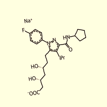 CC(C)c1c(C(=O)NC2CCCC2)nn(-c2ccc(F)cc2)c1CC[C@@H](O)C[C@@H](O)CC(=O)[O-].[Na+]